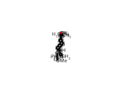 COC(=O)N[C@H](C(=O)N1C[C@@H](C)CC1c1nc2ccc3cc4c(cc3c2[nH]1)OCc1cc(B2OC(C)(C)C(C)(C)O2)ccc1-4)C(C)C